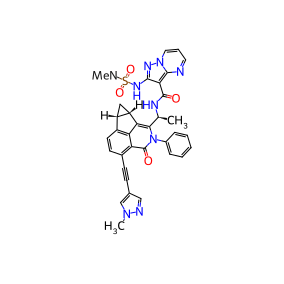 CNS(=O)(=O)Nc1nn2cccnc2c1C(=O)N[C@@H](C)c1c2c3c(ccc(C#Cc4cnn(C)c4)c3c(=O)n1-c1ccccc1)[C@@H]1C[C@H]21